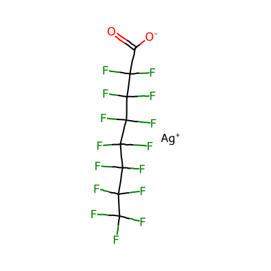 O=C([O-])C(F)(F)C(F)(F)C(F)(F)C(F)(F)C(F)(F)C(F)(F)C(F)(F)F.[Ag+]